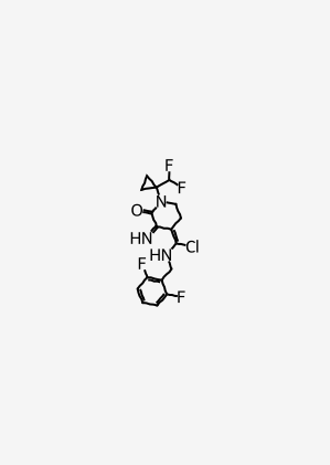 N=C1C(=O)N(C2(C(F)F)CC2)CC/C1=C(\Cl)NCc1c(F)cccc1F